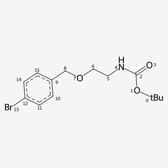 CC(C)(C)OC(=O)NCCOCc1ccc(Br)cc1